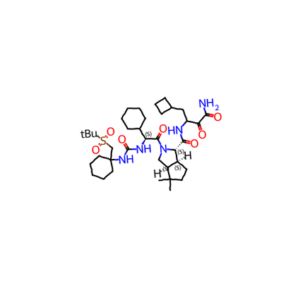 CC1(C)CC[C@@H]2[C@@H](C(=O)NC(CC3CCC3)C(=O)C(N)=O)N(C(=O)[C@@H](NC(=O)NC3(CS(=O)(=O)C(C)(C)C)CCCCC3)C3CCCCC3)C[C@@H]21